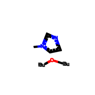 CCC(C)OC(C)CC.Cn1ccnc1